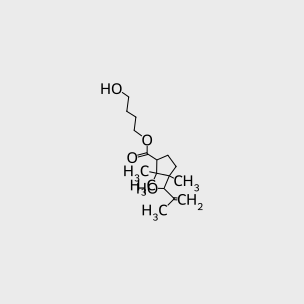 C=C(C)C(O)C1(C)CCC(C(=O)OCCCCO)C1(C)C